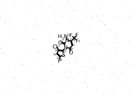 Nn1c(C(F)(F)F)cc(=O)n(-c2sc(F)cc2Cl)c1=O